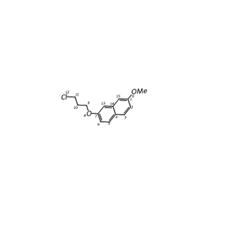 COc1ccc2ccc(OCCCCl)cc2c1